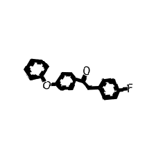 O=C(Cc1ccc(F)cc1)c1ccc(Oc2ccccc2)cc1